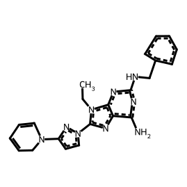 CCn1c(-n2ccc(N3C=CC=CC3)n2)nc2c(N)nc(NCc3ccccc3)nc21